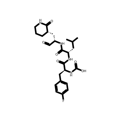 CC(C)C[C@H](NC(=O)[C@H](Cc1ccc(F)cc1)NC(=O)O)C(=O)N[C@H](C=O)C[C@@H]1CCCNC1=O